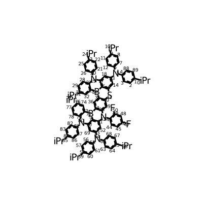 CC(C)c1ccc(N(c2ccc(C(C)C)cc2)c2cc3c4c(c2)N(c2ccc(C(C)C)cc2)c2ccc(C(C)C)cc2B4c2cc4c(cc2S3)N(c2ccc(F)cc2F)c2cc(N(c3ccc(C(C)C)cc3)c3ccc(C(C)C)cc3)cc3c2B4c2cc(C(C)C)ccc2N3c2ccc(C(C)C)cc2)cc1